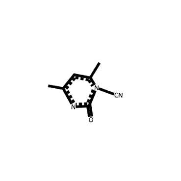 Cc1cc(C)n(C#N)c(=O)n1